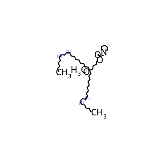 CCCCC/C=C\C/C=C\CCCCCCCCC(CCCCCCCC/C=C\C/C=C\CCCCC)(CCCCOC(=O)CN1CCCCC1)OC